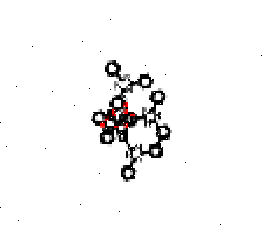 N#Cc1ccc2c(c1)C1(c3ccccc3Sc3ccccc31)c1ccc(-c3nc(-c4ccccc4)nc(-c4cccc(-c5cccc(-c6nc(-c7ccccc7)nc(-c7ccc(-c8ccc9ccccc9c8-c8ccc(-c9nc(-c%10ccccc%10)nc(-c%10ccccc%10)n9)cc8)cc7)n6)c5)c4)n3)cc1-2